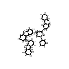 c1ccc(-c2nc(-c3ccc4sc5ccccc5c4c3)nc(-c3ccc4oc5cccc(-c6cccc7c6oc6ccccc67)c5c4c3)n2)cc1